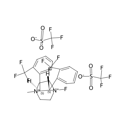 C[N+]12CC[N+](F)(CC1)[C@@H](c1ccccc1C(F)(F)F)[C@@H]2c1ccccc1C(F)(F)F.O=S(=O)([O-])C(F)(F)F.O=S(=O)([O-])C(F)(F)F